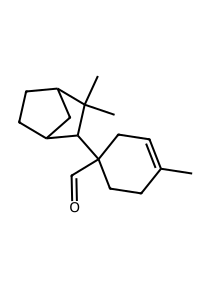 CC1=CCC(C=O)(C2C3CCC(C3)C2(C)C)CC1